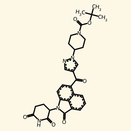 CC(C)(C)OC(=O)N1CCC(n2cc(C(=O)c3ccc4c5c(cccc35)C(=O)N4C3CCC(=O)NC3=O)cn2)CC1